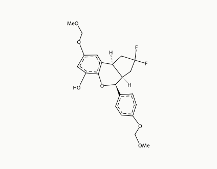 COCOc1ccc([C@H]2Oc3c(O)cc(OCOC)cc3[C@H]3CC(F)(F)C[C@H]32)cc1